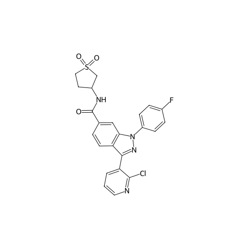 O=C(NC1CCS(=O)(=O)C1)c1ccc2c(-c3cccnc3Cl)nn(-c3ccc(F)cc3)c2c1